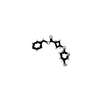 O=C(OCc1ccccc1)C1CC(Oc2ccc(Br)cn2)C1